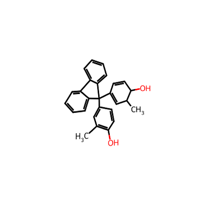 Cc1cc(C2(C3=CC(C)C(O)C=C3)c3ccccc3-c3ccccc32)ccc1O